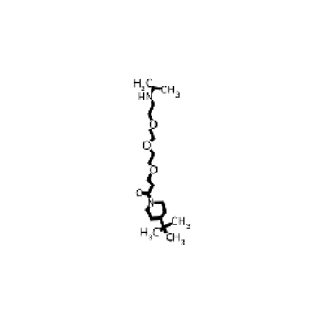 CC(C)NCCOCCOCCOCCC(=O)N1CCC(C(C)(C)C)CC1